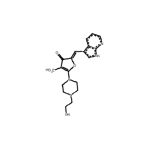 O=C(O)C1=C(N2CCN(CCO)CC2)OC(=Cc2c[nH]c3ncccc23)C1=O